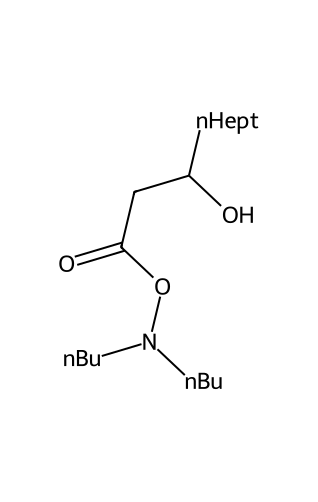 CCCCCCCC(O)CC(=O)ON(CCCC)CCCC